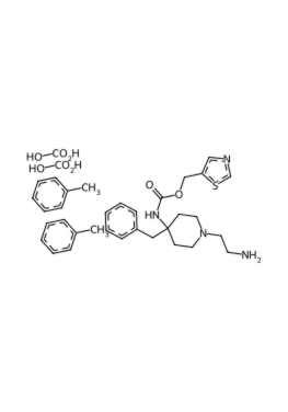 Cc1ccccc1.Cc1ccccc1.NCCN1CCC(Cc2ccccc2)(NC(=O)OCc2cncs2)CC1.O=C(O)O.O=C(O)O